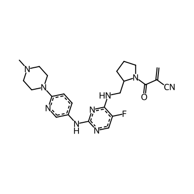 C=C(C#N)C(=O)N1CCCC1CNc1nc(Nc2ccc(N3CCN(C)CC3)nc2)ncc1F